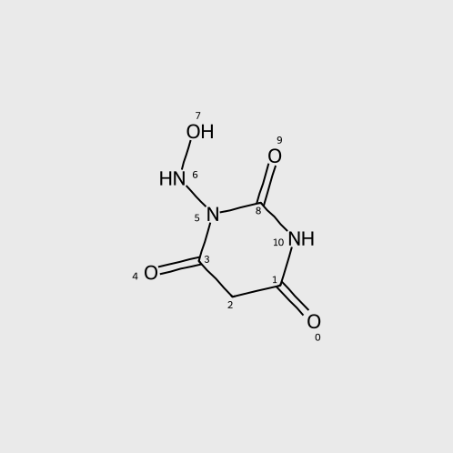 O=C1CC(=O)N(NO)C(=O)N1